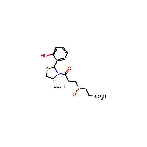 O=C(O)CC[S+]([O-])CCC(=O)N1C(c2ccccc2O)SC[C@H]1C(=O)O